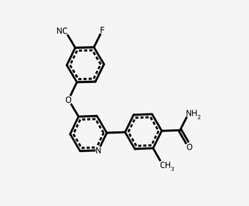 Cc1cc(-c2cc(Oc3ccc(F)c(C#N)c3)ccn2)ccc1C(N)=O